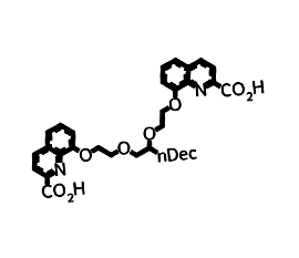 CCCCCCCCCCC(COCCOc1cccc2ccc(C(=O)O)nc12)OCCOc1cccc2ccc(C(=O)O)nc12